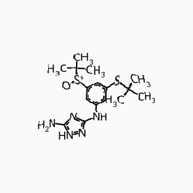 CC(C)(C)Sc1cc(Nc2n[nH]c(N)n2)cc([S+]([O-])C(C)(C)C)c1